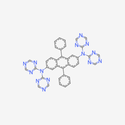 c1ccc(-c2c3ccc(N(c4ncncn4)c4ncncn4)cc3c(-c3ccccc3)c3ccc(N(c4ncncn4)c4ncncn4)cc23)cc1